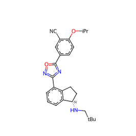 CC(C)Oc1ccc(-c2nc(-c3cccc4c3CC[C@@H]4NCC(C)(C)C)no2)cc1C#N